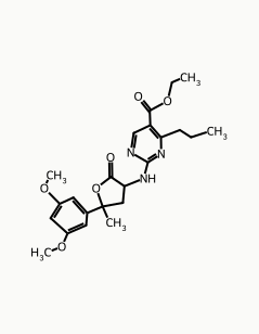 CCCc1nc(NC2CC(C)(c3cc(OC)cc(OC)c3)OC2=O)ncc1C(=O)OCC